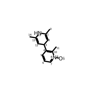 CC1=CC(c2ccc[n+]([O-])c2C)C=C(C)N1